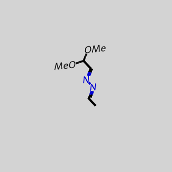 CC=NN=CC(OC)OC